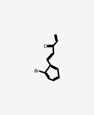 C=CC(=O)C=Cc1ccccc1Br